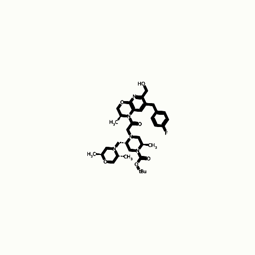 C[C@@H]1CO[C@@H](C)CN1C[C@H]1CN(C(=O)OC(C)(C)C)[C@H](C)CN1CC(=O)N1c2cc(Cc3ccc(F)cc3)c(CO)nc2OC[C@@H]1C